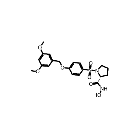 COc1cc(COc2ccc(S(=O)(=O)N3CCC[C@@H]3C(=O)NO)cc2)cc(OC)c1